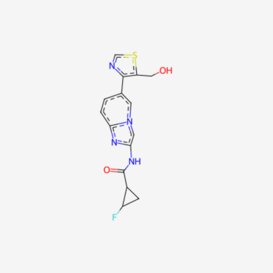 O=C(Nc1cn2cc(-c3ncsc3CO)ccc2n1)C1CC1F